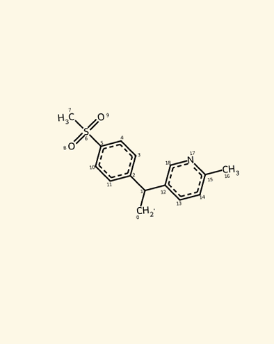 [CH2]C(c1ccc(S(C)(=O)=O)cc1)c1ccc(C)nc1